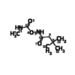 CNC(=O)ONC(=O)CC(C)(C)C